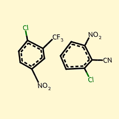 N#Cc1c(Cl)cccc1[N+](=O)[O-].O=[N+]([O-])c1ccc(Cl)c(C(F)(F)F)c1